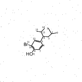 CC(C)CC(c1ccc(O)c(Br)c1)C(C)C